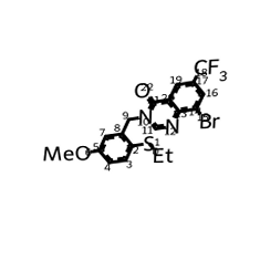 CCSc1ccc(OC)cc1Cn1cnc2c(Br)cc(C(F)(F)F)cc2c1=O